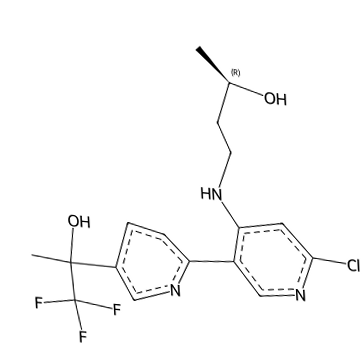 C[C@@H](O)CCNc1cc(Cl)ncc1-c1ccc(C(C)(O)C(F)(F)F)cn1